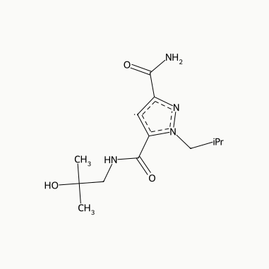 CC(C)Cn1nc(C(N)=O)[c]c1C(=O)NCC(C)(C)O